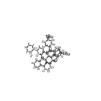 Cc1ccccc1-c1cc2c3c(c1)N(c1ccccc1-c1ccccc1)c1ccc4oc5ccccc5c4c1B3N(c1ccc(C(C)(C)C)cc1)c1ccc(C(C)(C)C)cc1-2